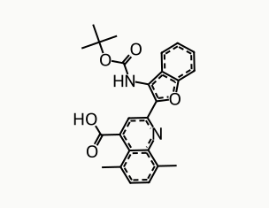 Cc1ccc(C)c2c(C(=O)O)cc(-c3oc4ccccc4c3NC(=O)OC(C)(C)C)nc12